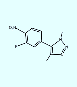 Cc1nnn(C)c1-c1ccc([N+](=O)[O-])c(F)c1